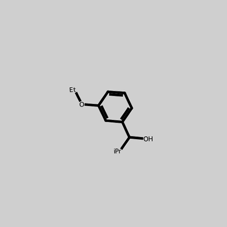 CCOc1cccc(C(O)C(C)C)c1